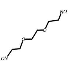 O=NCCOCCOCCN=O